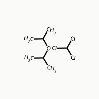 CC(C)OC(C)C.ClC(Cl)Cl